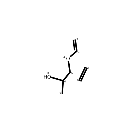 C=C.C=COCC(C)O